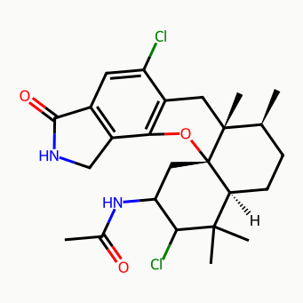 CC(=O)NC1C[C@@]23Oc4c(c(Cl)cc5c4CNC5=O)C[C@]2(C)[C@@H](C)CC[C@H]3C(C)(C)C1Cl